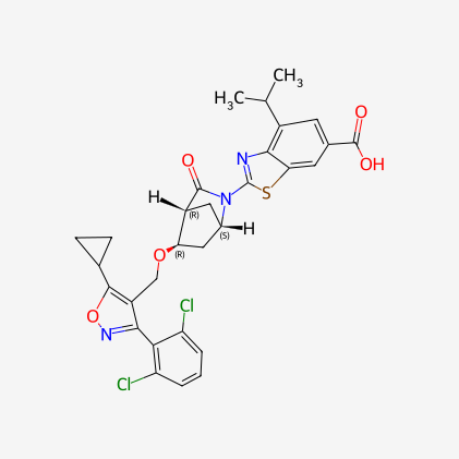 CC(C)c1cc(C(=O)O)cc2sc(N3C(=O)[C@@H]4C[C@H]3C[C@H]4OCc3c(-c4c(Cl)cccc4Cl)noc3C3CC3)nc12